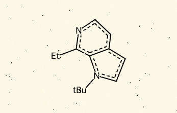 CCc1nccc2ccn(C(C)(C)C)c12